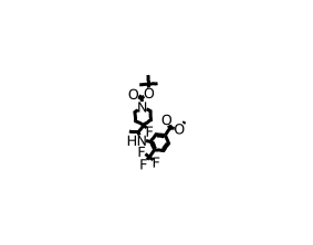 COC(=O)c1ccc(C(F)(F)F)c(NC(C)C2(F)CCN(C(=O)OC(C)(C)C)CC2)c1